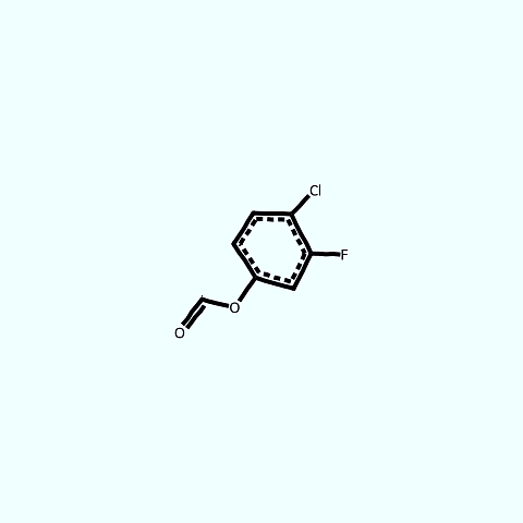 O=[C]Oc1ccc(Cl)c(F)c1